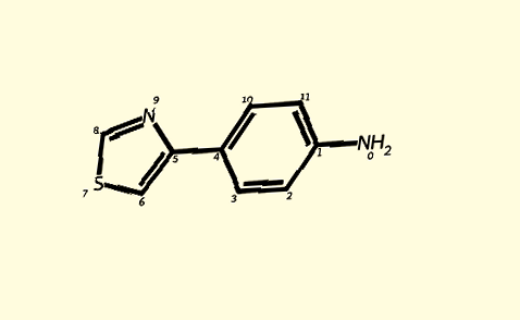 Nc1ccc(-c2cs[c]n2)cc1